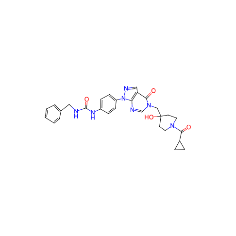 O=C(NCc1ccccc1)Nc1ccc(-n2ncc3c(=O)n(CC4(O)CCN(C(=O)C5CC5)CC4)cnc32)cc1